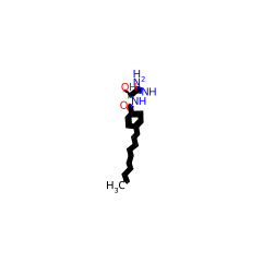 CCCCCCCCCCc1ccc(C(=O)N[C@@H](CO)C(=N)N)cc1